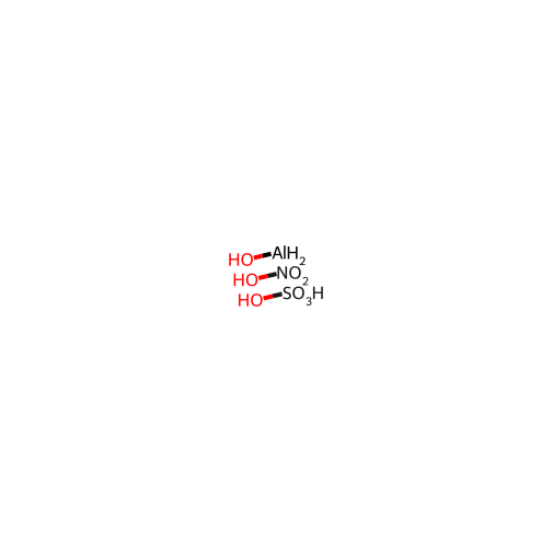 O=S(=O)(O)O.O=[N+]([O-])O.[OH][AlH2]